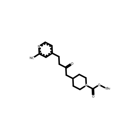 CC(C)(C)OC(=O)N1CCC(CC(=O)CCc2ccnc(C#N)c2)CC1